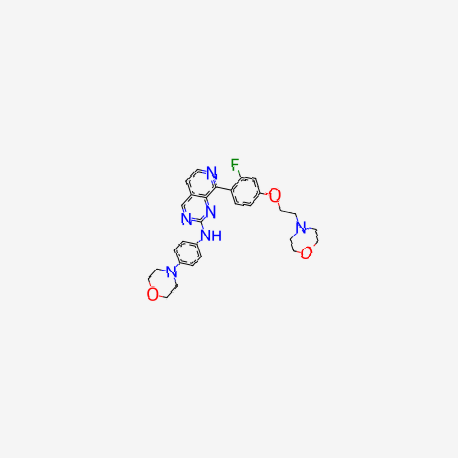 Fc1cc(OCCN2CCOCC2)ccc1-c1nccc2cnc(Nc3ccc(N4CCOCC4)cc3)nc12